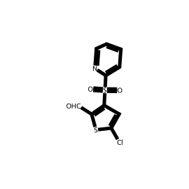 O=Cc1sc(Cl)cc1S(=O)(=O)c1ccccn1